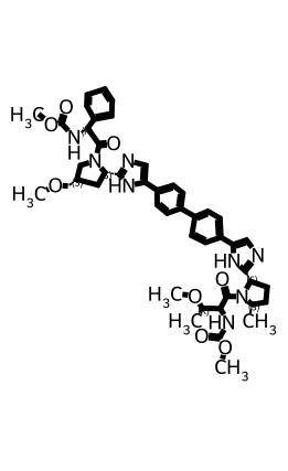 COC[C@H]1C[C@@H](c2ncc(-c3ccc(-c4ccc(-c5cnc([C@@H]6CC[C@H](C)N6C(=O)C(NC(=O)OC)[C@@H](C)OC)[nH]5)cc4)cc3)[nH]2)N(C(=O)[C@H](NC(=O)OC)c2ccccc2)C1